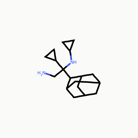 NCC(NC1CC1)(C1CC1)C1C2CC3CC(C2)CC1C3